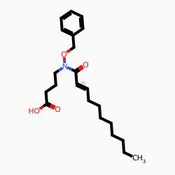 CCCCCCCC/C=C/C(=O)N(CCCC(=O)O)OCc1ccccc1